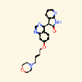 O=C1Nc2ncccc2C1c1ncnc2cc(OCC=CCN3CCOCC3)ccc12